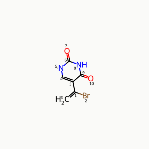 C=C(Br)C1=C[N]C(=O)NC1=O